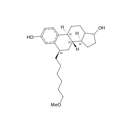 COCCCCCC[C@@H]1C[C@@H]2[C@H](CCC3C(O)CC[C@H]32)c2ccc(O)cc21